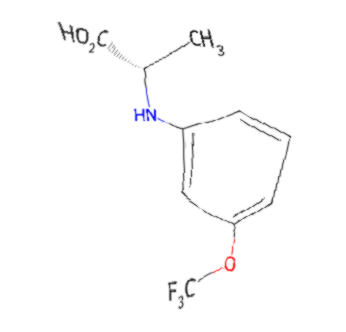 C[C@H](Nc1cccc(OC(F)(F)F)c1)C(=O)O